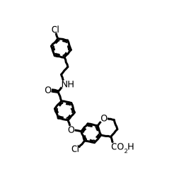 O=C(NCCc1ccc(Cl)cc1)c1ccc(Oc2cc3c(cc2Cl)C(C(=O)O)CCO3)cc1